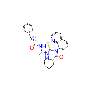 CC(NC(=O)/C=C/c1ccccc1)NC(=S)N(C(=O)C1CCCCC1)c1cccc2cccnc12